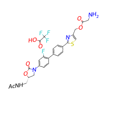 CC(=O)NC[C@H]1CN(c2ccc(-c3ccc(-c4nc(COC(=O)CN)cs4)cc3)c(F)c2)C(=O)O1.O=C(O)C(F)(F)F